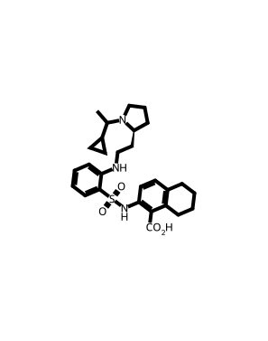 CC(C1CC1)N1CCC[C@H]1CCNc1ccccc1S(=O)(=O)Nc1ccc2c(c1C(=O)O)CCCC2